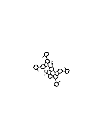 Cc1ccccc1-c1ccc2c(c1)c1cc(-c3ccccc3C)ccc1n2-c1cc(-c2ccccc2C(F)(F)F)c(-n2c3ccc(-c4ccccc4C)cc3c3cc(-c4ccccc4C)ccc32)cc1C#N